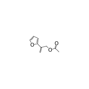 C=C(COC(C)=O)c1ccco1